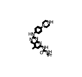 Cc1cc(NC(=O)NC(C)C)nc2nc(Nc3ccc(N4CCNCC4)cc3)ncc12